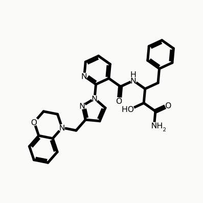 NC(=O)C(O)C(Cc1ccccc1)NC(=O)c1cccnc1-n1ccc(CN2CCOc3ccccc32)n1